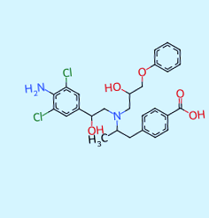 CC(Cc1ccc(C(=O)O)cc1)N(CC(O)COc1ccccc1)CC(O)c1cc(Cl)c(N)c(Cl)c1